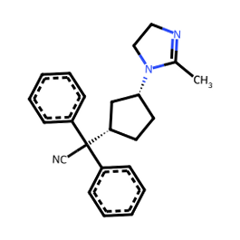 CC1=NCCN1[C@@H]1CC[C@H](C(C#N)(c2ccccc2)c2ccccc2)C1